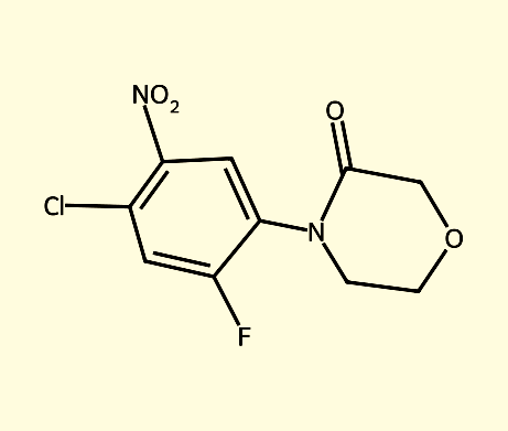 O=C1COCCN1c1cc([N+](=O)[O-])c(Cl)cc1F